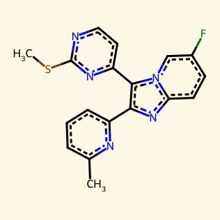 CSc1nccc(-c2c(-c3cccc(C)n3)nc3ccc(F)cn23)n1